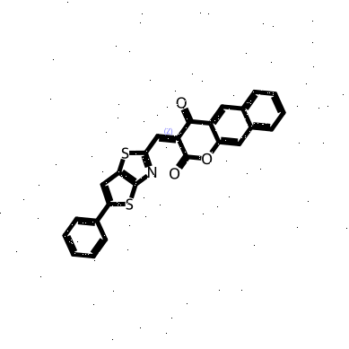 O=C1Oc2cc3ccccc3cc2C(=O)/C1=C/c1nc2sc(-c3ccccc3)cc2s1